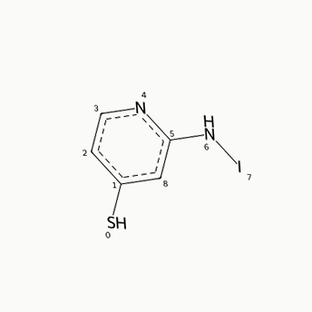 Sc1ccnc(NI)c1